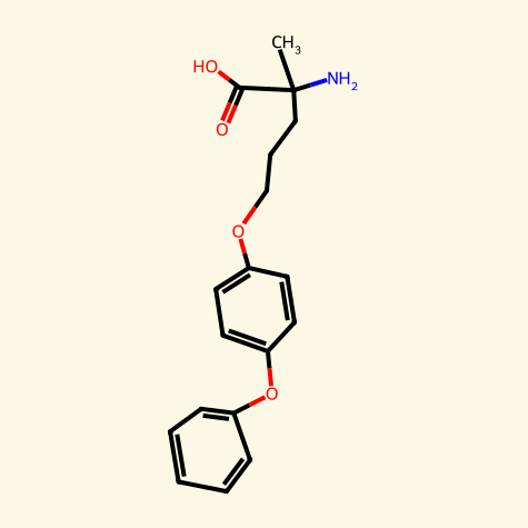 CC(N)(CCCOc1ccc(Oc2ccccc2)cc1)C(=O)O